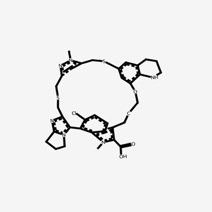 Cn1nc2cc1CSc1cc3c(c(c1)OCCCc1c(C(=O)O)n(C)c4c(c(Cl)ccc14)-c1c(nc4n1CCC4)CSC2)NCCC3